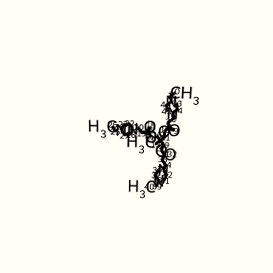 CCN1CCN(CCC(=O)OCC(CC)(COC(=O)CCN2CCN(CC)CC2)COC(=O)CCN2CCN(CC)CC2)CC1